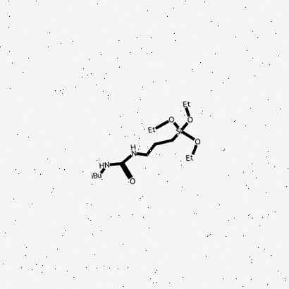 CCO[Si](CCCNC(=O)NC(C)CC)(OCC)OCC